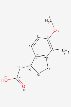 COc1ccc2c(c1C)CC[C@@H]2CC(=O)O